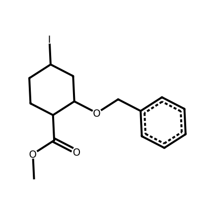 COC(=O)C1CCC(I)CC1OCc1ccccc1